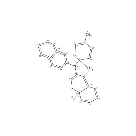 CC1=CCC(C)(N(C2=CCC3(C)C=CC=CC3=C2)c2ccc3ccccc3c2)C=C1